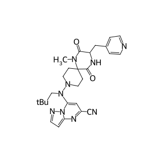 CN1C(=O)C(Cc2ccncc2)NC(=O)C12CCN(N(CC(C)(C)C)c1cc(C#N)nc3ccnn13)CC2